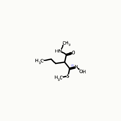 CCCC(C(=O)NC)/C(=N/O)SC